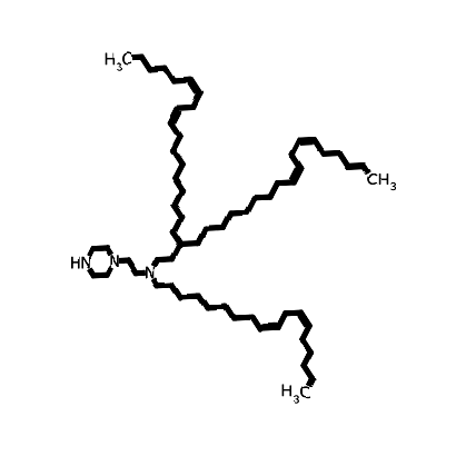 CCCCC/C=C\C/C=C\CCCCCCCCC(CCCCCCCC/C=C\C/C=C\CCCCC)CCN(CCCCCCCC/C=C\C/C=C\CCCCC)CCN1CCNCC1